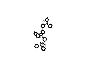 c1ccc(-c2nc(-c3cccc(-n4c5ccc(-c6ccc7c(c6)N(c6ccccc6)c6ccccc6S7)cc5c5c6ccccc6ccc54)c3)nc3ccccc23)cc1